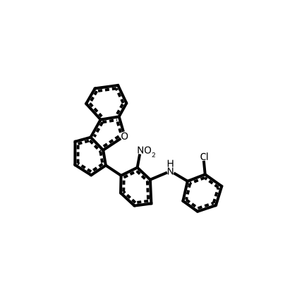 O=[N+]([O-])c1c(Nc2ccccc2Cl)cccc1-c1cccc2c1oc1ccccc12